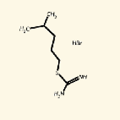 Br.CC(C)CCCSC(=N)N